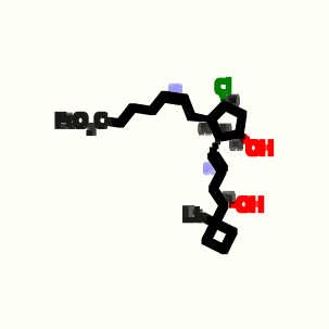 [CH2]COC(=O)CCC/C=C\C[C@@H]1[C@@H](/C=C/C[C@H](O)C2(CC)CCC2)[C@H](O)C[C@H]1Cl